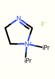 CC(C)[N+]1(C(C)C)C=NCC1.[F-]